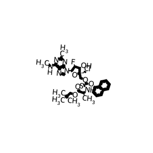 CNc1nc(C)nc2c1ncn2[C@@H]1O[C@](CCl)(CO[P@@](=S)(N[C@H](C)C(=O)OCC(C)(C)C)Oc2cccc3ccccc23)[C@@H](O)[C@H]1F